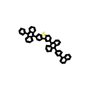 c1ccc(-c2c3ccccc3c(-c3ccc4c(c3)sc3ccc(-c5c6ccccc6c(-c6ccc(-c7cccc8ccccc78)cc6)c6ccccc56)cc34)c3ccccc23)cc1